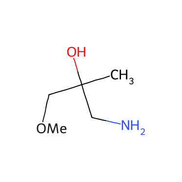 COCC(C)(O)CN